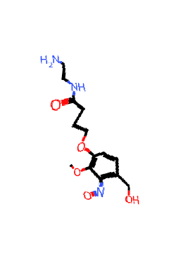 COc1c(OCCCC(=O)NCCN)ccc(CO)c1N=O